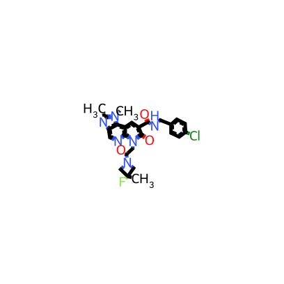 Cc1nc2cnc3c(cc(C(=O)NCc4ccc(Cl)cc4)c(=O)n3CC(=O)N3CC(C)(F)C3)c2n1C